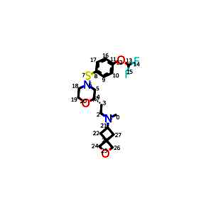 CN(CC[C@H]1CN(Sc2ccc(OC(F)F)cc2)CCO1)C1CC2(COC2)C1